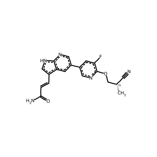 C[C@@H](C#N)COc1ncc(-c2cnc3[nH]cc(C=CC(N)=O)c3c2)cc1F